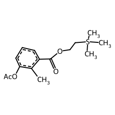 CC(=O)Oc1cccc(C(=O)OCCS(C)(C)C)c1C